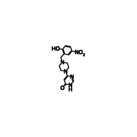 O=c1cc(N2CCN(Cc3cc([N+](=O)[O-])ccc3O)CC2)nc[nH]1